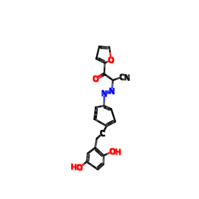 N#CC(N=Nc1ccc(CCc2cc(O)ccc2O)cc1)C(=O)c1ccco1